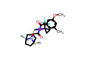 COc1cc(C)cc(C(=O)NC[C@@H]2C[C@H]3CC[C@@H](C2)N3CC(=O)NC2(C(F)(F)F)CC2)c1